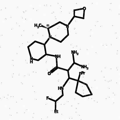 CCCC1(C(NCC(F)CC)C(C(=O)NC2CNCCC2N2CCN(C3COC3)C[C@H]2C)C(N)N)CCCC1